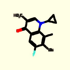 Cc1c(C(C)(C)C)c(F)cc2c(=O)c(C(=O)O)cn(C3CC3)c12